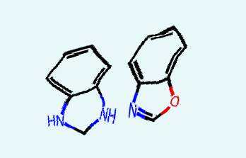 c1ccc2c(c1)NCN2.c1ccc2ocnc2c1